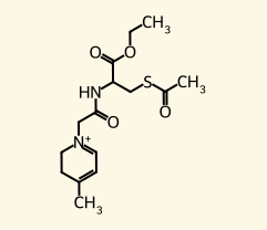 CCOC(=O)C(CSC(C)=O)NC(=O)C[N+]1=CC=C(C)CC1